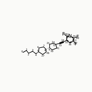 CCCCC[C@H]1CC[C@H](C2CCC(C#Cc3cc(F)c(F)nc3F)CC2)CC1